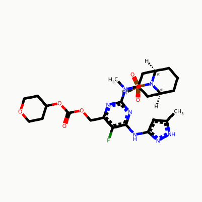 CCS(=O)(=O)N1[C@@H]2CCC[C@H]1CC(N(C)c1nc(COC(=O)OC3CCOCC3)c(F)c(Nc3cc(C)[nH]n3)n1)C2